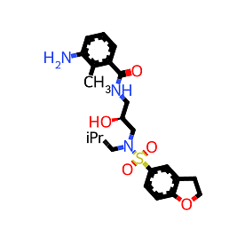 Cc1c(N)cccc1C(=O)NC[C@H](O)CN(CC(C)C)S(=O)(=O)c1ccc2c(c1)CCO2